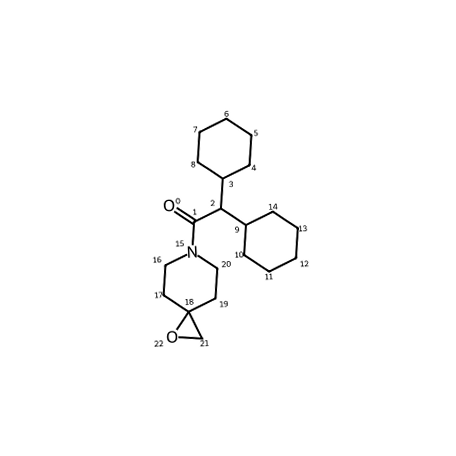 O=C(C(C1CCCCC1)C1CCCCC1)N1CCC2(CC1)CO2